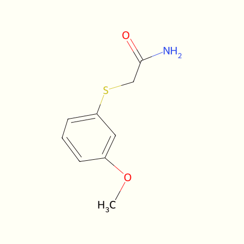 COc1cccc(SCC(N)=O)c1